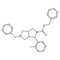 Cc1ccccc1C1C2CN(Cc3ccccc3)CC2CN1C(=O)OCc1ccccc1